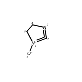 [O-][N+]1=C=NCC1